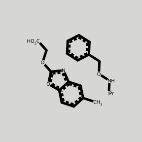 CC(C)NOCc1ccccc1.Cc1ccc2oc(OCC(=O)O)nc2c1